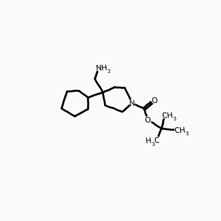 CC(C)(C)OC(=O)N1CCC(CN)(C2CCCCC2)CC1